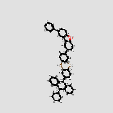 c1ccc(-c2ccc3oc4ccc(-c5ccc6c(c5)Sc5ccc(-c7c8ccccc8c(-c8ccccc8)c8ccccc78)cc5S6)cc4c3c2)cc1